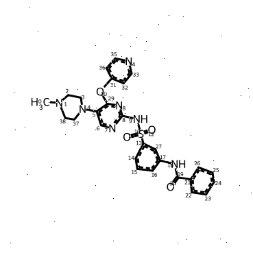 CN1CCN(c2cnc(NS(=O)(=O)c3cccc(NC(=O)c4ccccc4)c3)nc2Oc2ccncc2)CC1